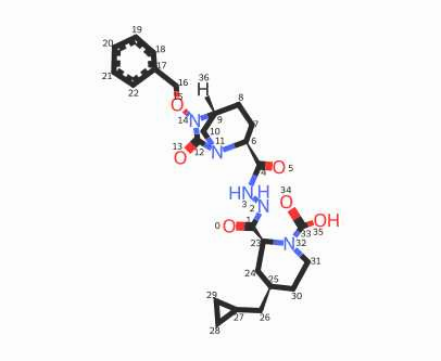 O=C(NNC(=O)[C@@H]1CC[C@@H]2CN1C(=O)N2OCc1ccccc1)[C@@H]1C[C@H](CC2CC2)CCN1C(=O)O